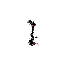 COC(=O)[C@H](CCC(=O)NCCCCCCCCNc1cccc2c1C(=O)N(C1CCC(=O)NC1=O)C2=O)NC(=O)c1ccc(N(C)Cc2cnc3nc(N)nc(N)c3n2)cc1